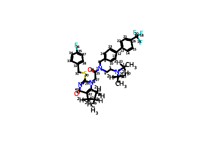 [2H]C([2H])(C)N(CCN(Cc1ccc(-c2ccc(C(F)(F)F)cc2)cc1)C(=O)Cn1c(SCc2ccc(F)cc2)nc(=O)c2c1C([2H])([2H])C([2H])(C)C2([2H])[2H])C([2H])([2H])C